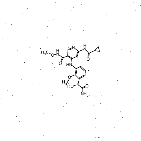 CONC(=O)c1cnc(NC(=O)C2CC2)cc1Nc1cccc(N(O)C(N)=O)c1OC